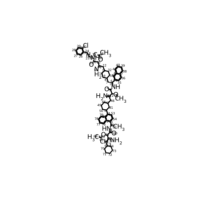 COC(C(=O)N[C@@H](CC1CCC(C[C@@H](N)C(OC(C)C)C(=O)NCCc2ccccc2Cl)CC1)c1ccc2ccccc2c1)[C@H](N)CC1CCCC(c2ccc([C@H](C)NC(=O)C(OC(C)C)[C@H](N)CC3CCCCC3)c3ccccc23)C1